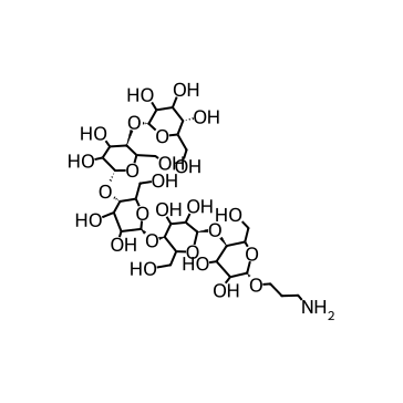 NCCCO[C@H]1OC(CO)[C@H](O[C@H]2OC(CO)[C@@H](O[C@@H]3OC(CO)[C@@H](O[C@H]4OC(CO)[C@H](O[C@H]5OC(CO)[C@@H](O)C(O)C5O)C(O)C4O)C(O)C3O)C(O)C2O)C(O)C1O